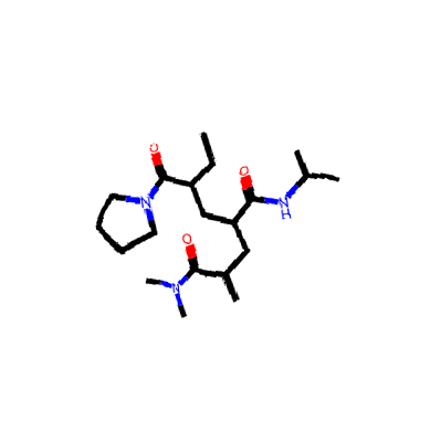 CCC(CC(CC(C)C(=O)N(C)C)C(=O)NC(C)C)C(=O)N1CCCC1